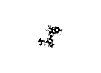 CCC1(CNc2nc(-c3nc(N)c4c(n3)NC(O)C4(C)c3ccc(F)cc3)cn3ccnc23)CC1